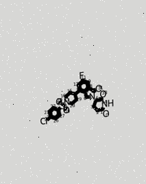 O=C1CCC(N2Cc3c(cc(F)cc3C3CCN(S(=O)(=O)c4ccc(Cl)cc4)CC3)C2=O)C(=O)N1